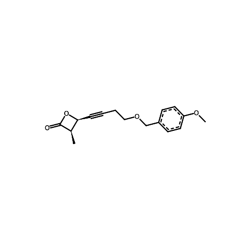 COc1ccc(COCCC#C[C@@H]2OC(=O)[C@@H]2C)cc1